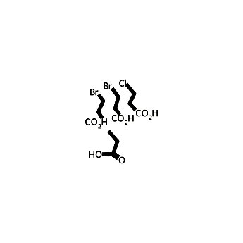 CCC(=O)O.O=C(O)CCBr.O=C(O)CCBr.O=C(O)CCCl